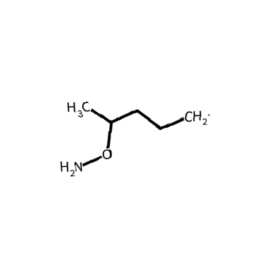 [CH2]CCC(C)ON